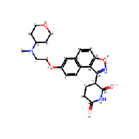 CN(CCOc1ccc2c(ccc3onc(C4CCC(=O)NC4=O)c32)c1)C1CCOCC1